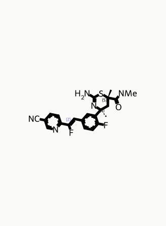 CNC(=O)[C@]1(C)C[C@@](C)(c2cc(/C=C(\F)c3ccc(C#N)cn3)ccc2F)N=C(N)S1